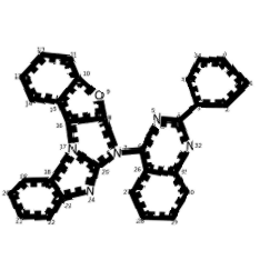 c1ccc(-c2nc(-n3c4oc5ccccc5c4n4c5ccccc5nc34)c3ccccc3n2)cc1